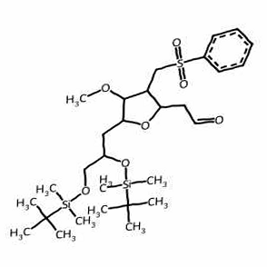 COC1C(CC(CO[Si](C)(C)C(C)(C)C)O[Si](C)(C)C(C)(C)C)OC(CC=O)C1CS(=O)(=O)c1ccccc1